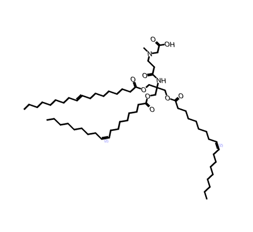 CCCCCCCCC=CCCCCCCCC(=O)OCC(COC(=O)CCCCCCC/C=C\CCCCCCCC)(COC(=O)CCCCCCC/C=C\CCCCCCCC)NC(=O)CCN(C)CC(=O)O